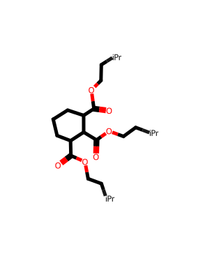 CC(C)CCOC(=O)C1CCCC(C(=O)OCCC(C)C)C1C(=O)OCCC(C)C